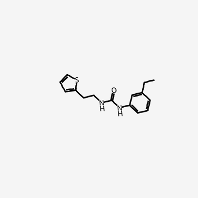 CCc1cccc(NC(=O)NCCc2cccs2)c1